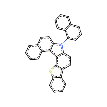 c1ccc2c(-n3c4ccc5ccccc5c4c4c5sc6ccccc6c5ccc43)cccc2c1